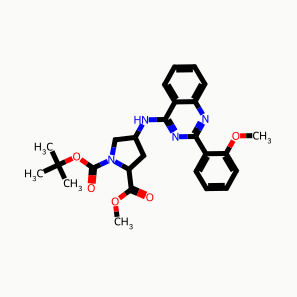 COC(=O)C1CC(Nc2nc(-c3ccccc3OC)nc3ccccc23)CN1C(=O)OC(C)(C)C